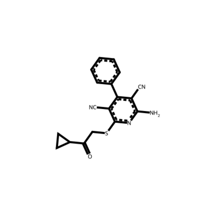 N#Cc1c(N)nc(SCC(=O)C2CC2)c(C#N)c1-c1ccccc1